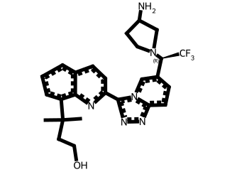 CC(C)(CCO)c1cccc2ccc(-c3nnc4ccc([C@@H](N5CCC(N)C5)C(F)(F)F)cn34)nc12